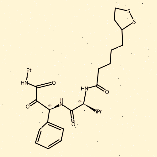 CCNC(=O)C(=O)[C@@H](NC(=O)[C@@H](NC(=O)CCCCC1CCSS1)C(C)C)c1ccccc1